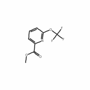 COC(=O)c1cccc(OC(F)(F)F)n1